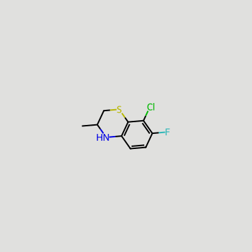 CC1CSc2c(ccc(F)c2Cl)N1